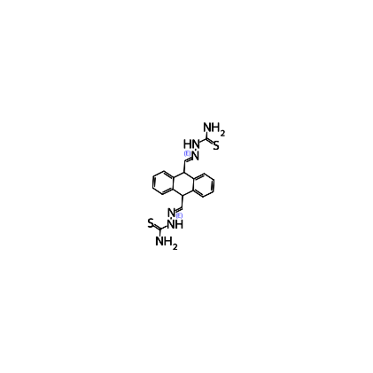 NC(=S)N/N=C/C1c2ccccc2C(/C=N/NC(N)=S)c2ccccc21